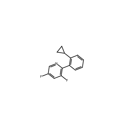 Fc1cnc(-c2ccc[c]c2C2CC2)c(F)c1